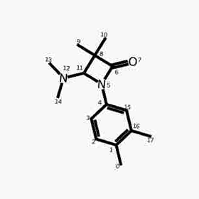 Cc1ccc(N2C(=O)C(C)(C)C2N(C)C)cc1C